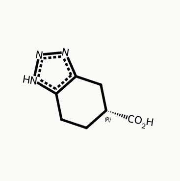 O=C(O)[C@@H]1CCc2[nH]nnc2C1